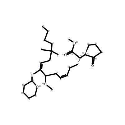 CCCCC(C)(C)C/C=C(/OC1CCCCO1)C(C/C=C\CC[C@H](C(=O)OC)[C@H]1CCCC1=O)OC